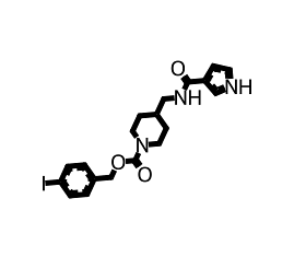 O=C(NCC1CCN(C(=O)OCc2ccc(I)cc2)CC1)c1cc[nH]c1